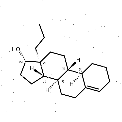 CCC[C@]12CC[C@H]3[C@@H](CCC4=CCCC[C@@H]43)[C@@H]1CC[C@@H]2O